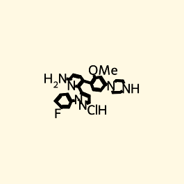 COc1cc(N2CCNCC2)ccc1-c1ccc(N)nc1-c1ccnn1-c1cccc(F)c1.Cl